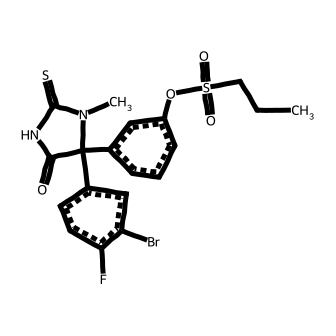 CCCS(=O)(=O)Oc1cccc(C2(c3ccc(F)c(Br)c3)C(=O)NC(=S)N2C)c1